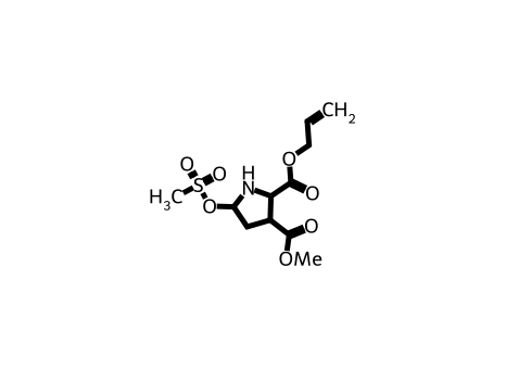 C=CCOC(=O)C1NC(OS(C)(=O)=O)CC1C(=O)OC